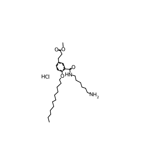 CCCCCCCCCCCCOc1ccc(CCC(=O)OC)cc1C(=O)NCCCCCCN.Cl